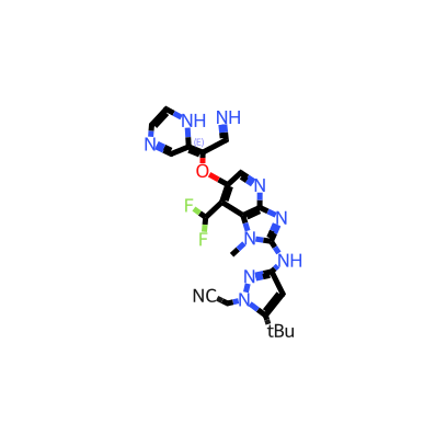 Cn1c(Nc2cc(C(C)(C)C)n(CC#N)n2)nc2ncc(O/C(C=N)=C3\C=NC=CN3)c(C(F)F)c21